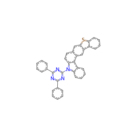 c1ccc(-c2nc(-c3ccccc3)nc(-n3c4ccccc4c4c5cc6c(cc5ccc43)sc3ccccc36)n2)cc1